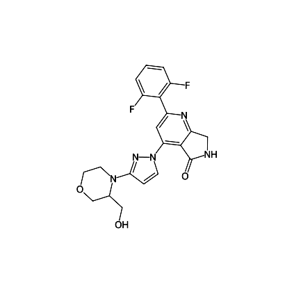 O=C1NCc2nc(-c3c(F)cccc3F)cc(-n3ccc(N4CCOCC4CO)n3)c21